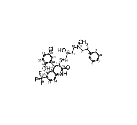 CN(CCc1ccccc1)CCC(O)CSc1c(-c2cc(Cl)ccc2O)c2cc(C(F)(F)F)ccc2[nH]c1=O